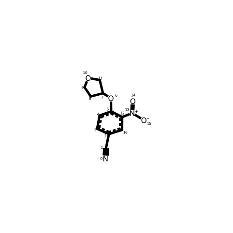 N#Cc1ccc(OC2CCOC2)c([N+](=O)[O-])c1